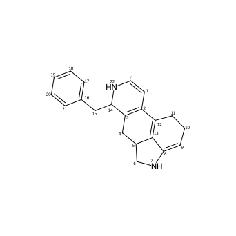 C1=CC2=C(CC3CNC4=CCCC2=C43)C(Cc2ccccc2)N1